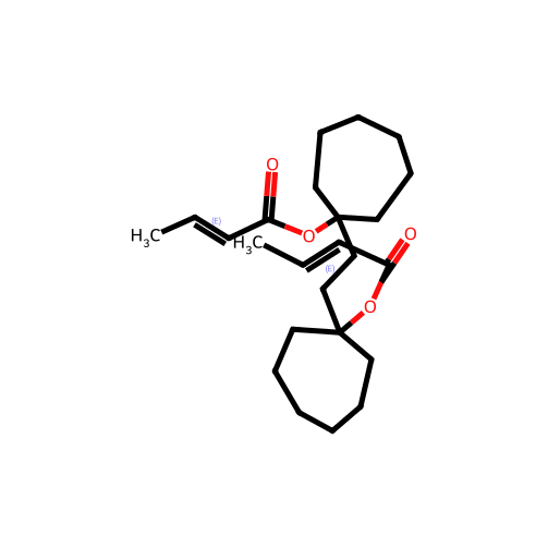 C/C=C/C(=O)OC1(CCC2(OC(=O)/C=C/C)CCCCCC2)CCCCCC1